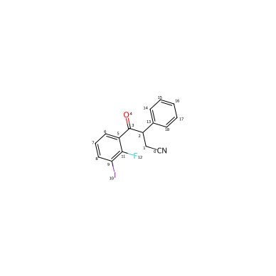 N#CCC(C(=O)c1cccc(I)c1F)c1ccccc1